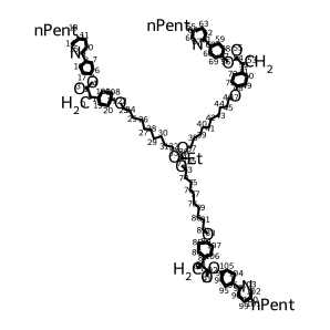 C=C(C(=O)Oc1ccc(-c2ccc(CCCCC)cn2)cc1)c1ccc(OCCCCCCCCCCOC(CC)(OCCCCCCCCCCOc2ccc(C(=C)C(=O)Oc3ccc(-c4ccc(CCCCC)cn4)cc3)cc2)OCCCCCCCCCCOc2ccc(C(=C)C(=O)Oc3ccc(-c4ccc(CCCCC)cn4)cc3)cc2)cc1